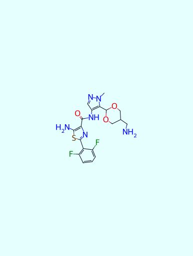 Cn1ncc(NC(=O)c2nc(-c3c(F)cccc3F)sc2N)c1C1OCC(CN)CO1